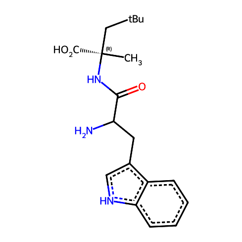 CC(C)(C)C[C@@](C)(NC(=O)C(N)Cc1c[nH]c2ccccc12)C(=O)O